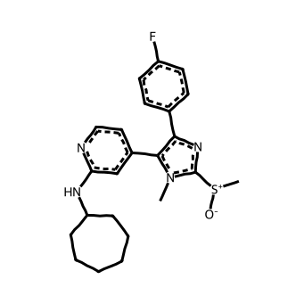 Cn1c([S+](C)[O-])nc(-c2ccc(F)cc2)c1-c1ccnc(NC2CCCCCC2)c1